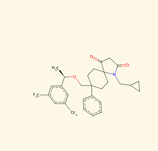 C[C@@H](OCC1(c2ccccc2)CCC2(CC1)C(=O)CC(=O)N2CC1CC1)c1cc(C(F)(F)F)cc(C(F)(F)F)c1